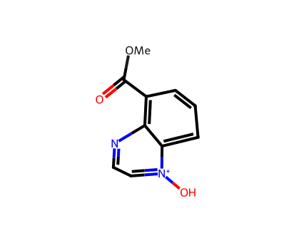 COC(=O)c1cccc2c1ncc[n+]2O